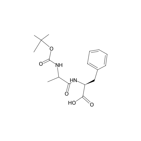 CC(NC(=O)OC(C)(C)C)C(=O)N[C@@H](Cc1ccccc1)C(=O)O